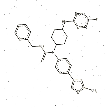 Cn1cc(-c2ccc(N(C(=O)NCc3ccccc3)C3CCC(Nc4ncc(F)cn4)CC3)cc2)cn1